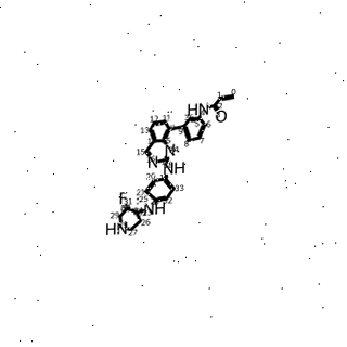 C=CC(=O)Nc1cccc(-c2cccc3cnc(Nc4ccc(N[C@@]5(C)CCNC[C@@H]5F)cc4)nc23)c1